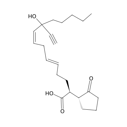 C#CC(O)(/C=C\C/C=C/CC[C@H](C(=O)O)[C@H]1CCCC1=O)CCCCC